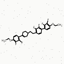 CCOc1ccc(C2=CCC(CCc3ccc(-c4ccc(OCC)c(F)c4F)c(F)c3F)CC2)c(F)c1F